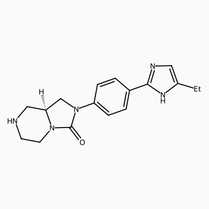 CCc1cnc(-c2ccc(N3C[C@@H]4CNCCN4C3=O)cc2)[nH]1